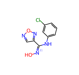 O/N=C(/Nc1cccc(Cl)c1)c1cnon1